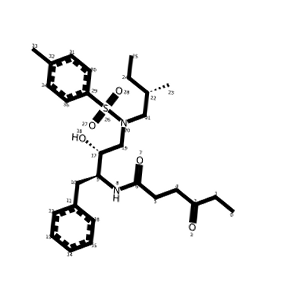 CCC(=O)CCC(=O)N[C@@H](Cc1ccccc1)[C@H](O)CN(C[C@@H](C)CC)S(=O)(=O)c1ccc(C)cc1